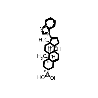 C[C@]12CC[C@H](B(O)O)CC1=CC[C@@H]1[C@@H]2CC[C@]2(C)C(n3cnc4ccccc43)=CC[C@@H]12